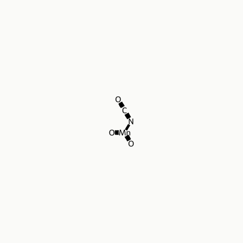 O=C=[N][Mn](=[O])=[O]